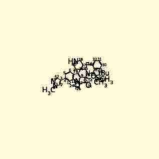 Cn1cc(-c2ccc3c4c([nH]c3c2)C(CO[Si](C)(C)C(C)(C)C)(C(=O)C2CCC2)N(Cc2ccccc2F)CC42CCNCC2)cn1